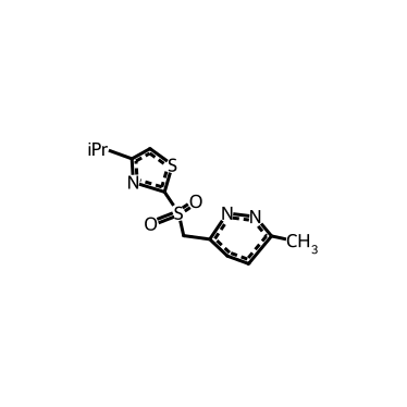 Cc1ccc(CS(=O)(=O)c2nc(C(C)C)cs2)nn1